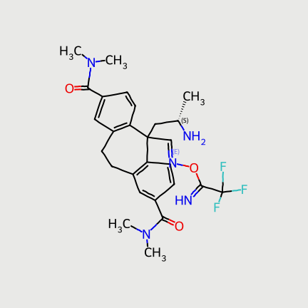 C[C@H](N)CC1(/C=N/OC(=N)C(F)(F)F)c2ccc(C(=O)N(C)C)cc2CCc2cc(C(=O)N(C)C)ccc21